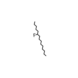 CCCCCCCCCC(F)CCCCC